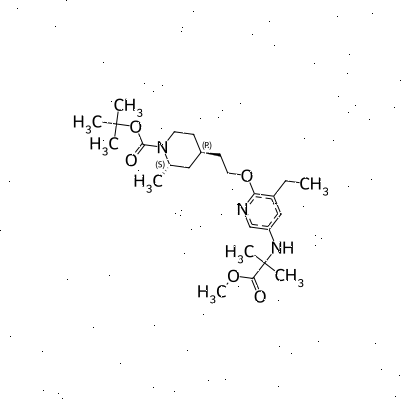 CCc1cc(NC(C)(C)C(=O)OC)cnc1OCC[C@@H]1CCN(C(=O)OC(C)(C)C)[C@@H](C)C1